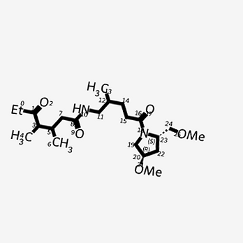 CCC(=O)C(C)C(C)CC(=O)NCC(C)CCC(=O)N1C[C@H](OC)C[C@H]1COC